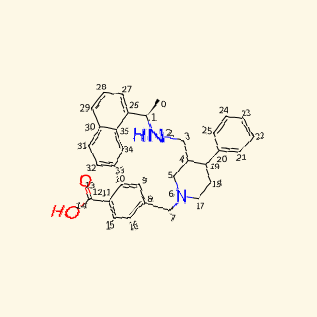 C[C@@H](NCC1CN(Cc2ccc(C(=O)O)cc2)CCC1c1ccccc1)c1cccc2ccccc12